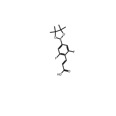 CC1(C)OB(c2cc(F)c(/C=C/C(=O)O)c(F)c2)OC1(C)C